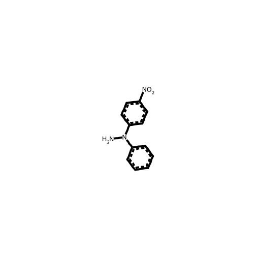 NN(c1ccccc1)c1ccc([N+](=O)[O-])cc1